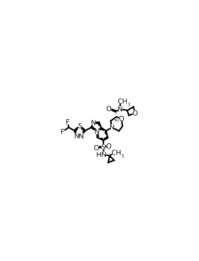 CN(C(=O)[C@H]1CN(c2cc(S(=O)(=O)NC3(C)CC3)cn3c(-c4nnc(C(F)F)s4)ncc23)CCO1)C1COC1